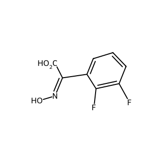 O=C(O)C(=NO)c1cccc(F)c1F